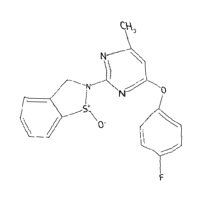 Cc1cc(Oc2ccc(F)cc2)nc(N2Cc3ccccc3[S+]2[O-])n1